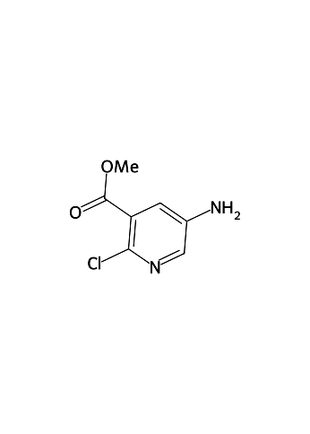 COC(=O)c1cc(N)cnc1Cl